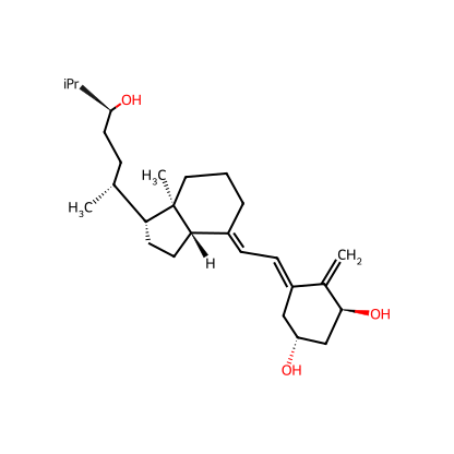 C=C1/C(=C/C=C2\CCC[C@]3(C)[C@@H]([C@H](C)CC[C@H](O)C(C)C)CC[C@@H]23)C[C@@H](O)C[C@@H]1O